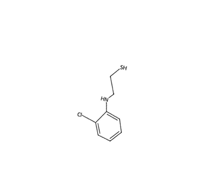 SCCNc1ccccc1Cl